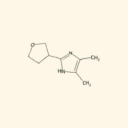 Cc1nc(C2CCOC2)[nH]c1C